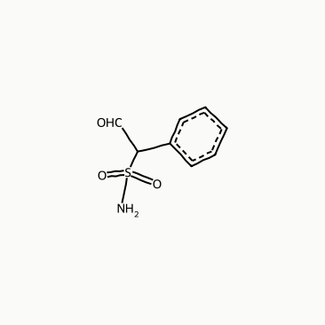 NS(=O)(=O)C(C=O)c1ccccc1